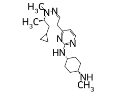 CN[C@H]1CC[C@H](Nc2nccc(C/C=N\N(C)[C@H](C)CC3CC3)n2)CC1